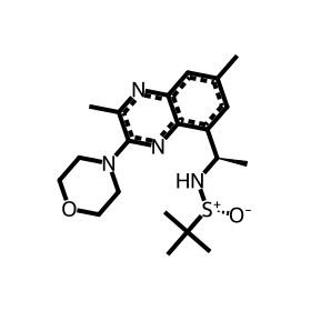 Cc1cc([C@@H](C)N[S@+]([O-])C(C)(C)C)c2nc(N3CCOCC3)c(C)nc2c1